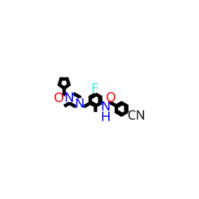 Cc1c(CN2CCN(C(=O)C3CCCC3)C(C)C2)cc(F)cc1NC(=O)c1ccc(C#N)cc1